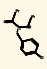 CC(C)N[C@H](Cc1ccc(Cl)cc1)C(=O)C(C)C